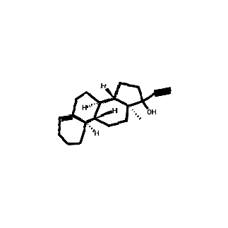 C#CC1(O)CC[C@H]2[C@@H]3CCC4=CCCC[C@@H]4[C@H]3CC[C@@]21C